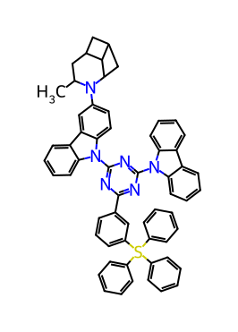 CC1CC2CC3CC(C23)N1c1ccc2c(c1)c1ccccc1n2-c1nc(-c2cccc(S(c3ccccc3)(c3ccccc3)c3ccccc3)c2)nc(-n2c3ccccc3c3ccccc32)n1